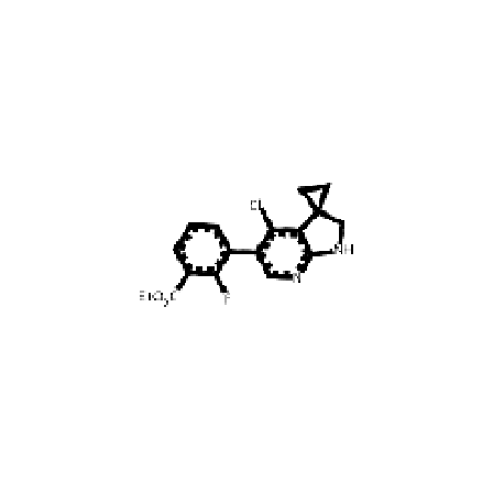 CCOC(=O)c1cccc(-c2cnc3c(c2Cl)C2(CC2)CN3)c1F